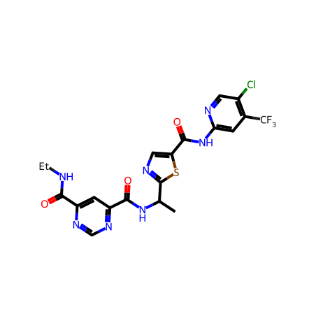 CCNC(=O)c1cc(C(=O)NC(C)c2ncc(C(=O)Nc3cc(C(F)(F)F)c(Cl)cn3)s2)ncn1